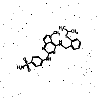 CC(C)Sc1ccccc1CNc1nc(Nc2ccc(S(N)(=O)=O)cc2)nc2ccn(C)c12